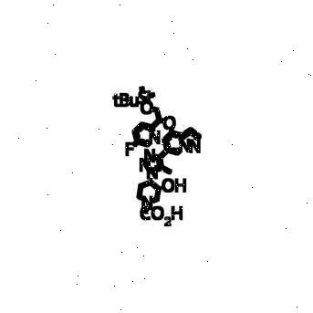 Cc1c(-c2cc(OC(CO[Si](C)(C)C(C)(C)C)c3ccc(F)cn3)c3ccnn3c2)nnn1[C@H]1CCN(C(=O)O)C[C@H]1O